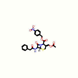 CC(=O)OC=C1CS[C@@H]2C(NC(=O)Cc3ccccc3)C(=O)N2C1C(=O)OCc1ccc([N+](=O)[O-])cc1